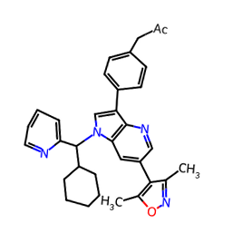 CC(=O)Cc1ccc(-c2cn(C(c3ccccn3)C3CCCCC3)c3cc(-c4c(C)noc4C)cnc23)cc1